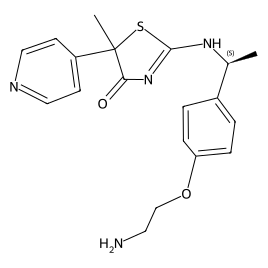 C[C@H](NC1=NC(=O)C(C)(c2ccncc2)S1)c1ccc(OCCN)cc1